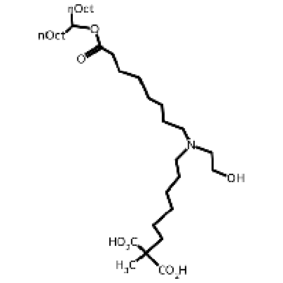 CCCCCCCCC(CCCCCCCC)OC(=O)CCCCCCCN(CCO)CCCCCCC(C)(C(=O)O)C(=O)O